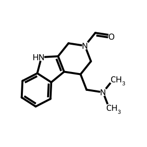 CN(C)CC1CN(C=O)Cc2[nH]c3ccccc3c21